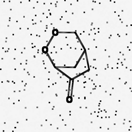 O=C1CC2COOC1C2